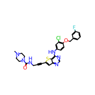 CN1CCN(C(=O)NCC#Cc2cc3ncnc(Nc4ccc(OCc5cccc(F)c5)c(Cl)c4)c3s2)CC1